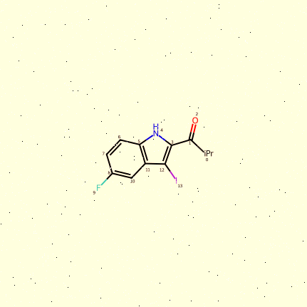 CC(C)C(=O)c1[nH]c2ccc(F)cc2c1I